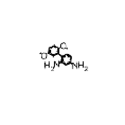 COc1ccc(OC)c(-c2ccc(N)cc2N)c1